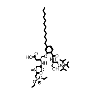 CCCCCCCCCCCCc1ccc(C(=O)N[C@H](CO)CO[Si](C(C)C)(C(C)C)C(C)C)c(OC[C@H](CC(=O)O)NC(=O)CN(C)C(=O)CP(=O)(OCC)OCC)c1